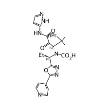 CCCC(C)(C)[C@@H](C(=O)C(=O)Nc1ccn[nH]1)N(C(=O)O)[C@H](CC)c1nnc(-c2ccncc2)o1